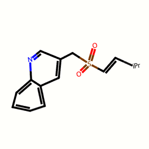 CC(C)/C=C/S(=O)(=O)Cc1cnc2ccccc2c1